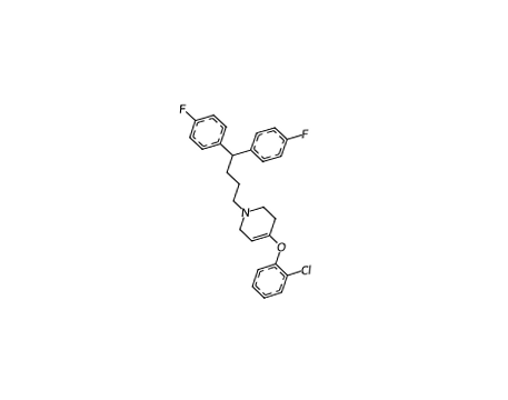 Fc1ccc(C(CCCN2CC=C(Oc3ccccc3Cl)CC2)c2ccc(F)cc2)cc1